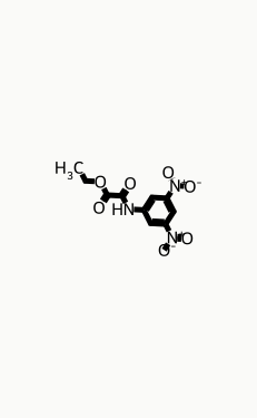 CCOC(=O)C(=O)Nc1cc([N+](=O)[O-])cc([N+](=O)[O-])c1